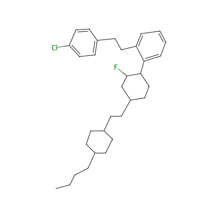 CCCCC1CCC(CCC2CCC(c3ccccc3CCc3ccc(Cl)cc3)C(F)C2)CC1